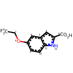 O=C(O)c1cc2cc(OCC(F)(F)F)ccc2[nH]1